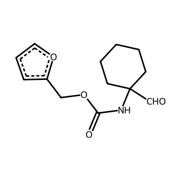 O=CC1(NC(=O)OCc2ccco2)CCCCC1